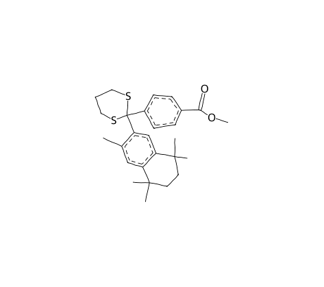 COC(=O)c1ccc(C2(c3cc4c(cc3C)C(C)(C)CCC4(C)C)SCCCS2)cc1